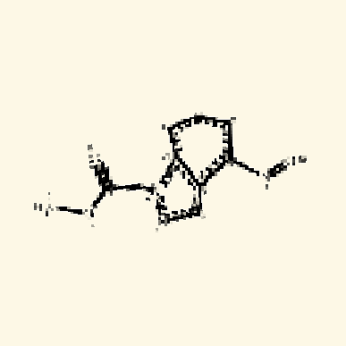 COC(=O)n1ncc2c(N=O)cccc21